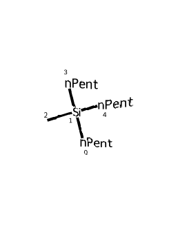 CCCCC[Si](C)(CCCCC)CCCCC